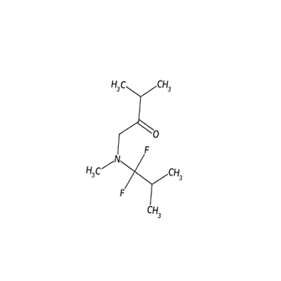 CC(C)C(=O)CN(C)C(F)(F)C(C)C